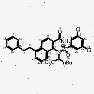 CCCCC(C(=O)O)N(c1c(C(N)=O)ccc2c(CCc3ccccc3)cccc12)S(=O)(=O)c1cc(Cl)cc(Cl)c1